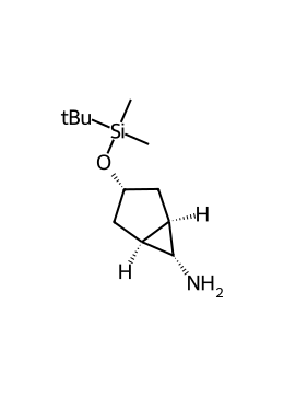 CC(C)(C)[Si](C)(C)O[C@H]1C[C@@H]2[C@@H](N)[C@@H]2C1